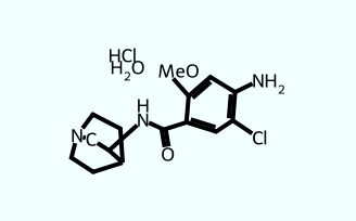 COc1cc(N)c(Cl)cc1C(=O)NC1CN2CCC1CC2.Cl.O